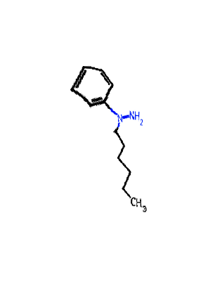 CCCCCCN(N)c1ccccc1